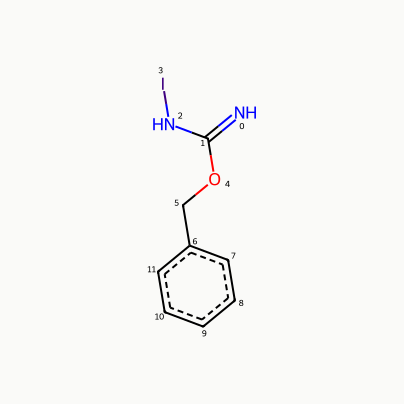 N=C(NI)OCc1ccccc1